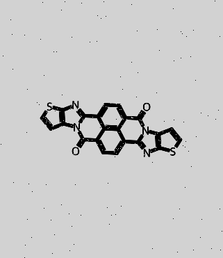 O=c1c2ccc3c4c(ccc(c24)c2nc4sccc4n12)c(=O)n1c2ccsc2nc31